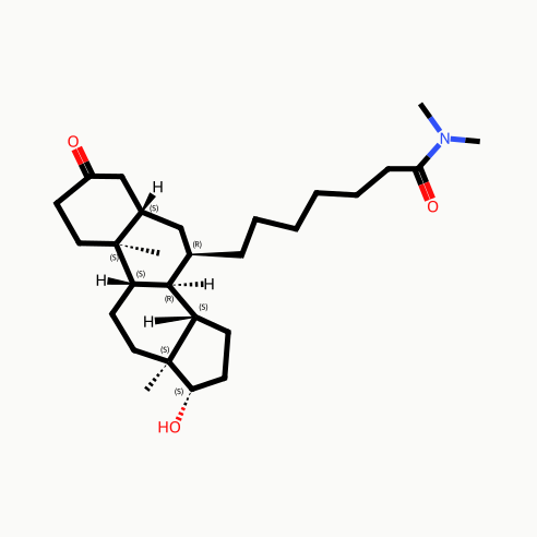 CN(C)C(=O)CCCCCC[C@@H]1C[C@H]2CC(=O)CC[C@]2(C)[C@H]2CC[C@]3(C)[C@@H](O)CC[C@H]3[C@H]12